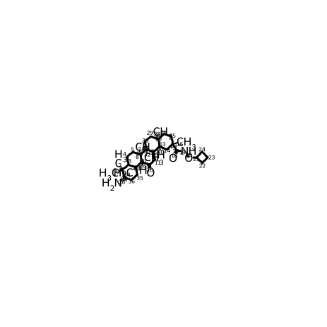 CC1(C)C2CC[C@]3(C)[C@H](C(=O)C=C4[C@@H]5C[C@@](C)(C(=O)NOC6CCC6)CC[C@]5(C)CC[C@]43C)[C@@]2(C)CC[C@@H]1N